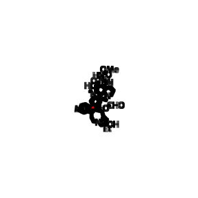 CC[C@]1(O)CC2CN(CCc3c([nH]c4ccccc34)[C@@](COC=O)(c3cc4c(cc3OC)N(C)[C@H]3[C@@](O)(C(=O)NNC(=O)OC)[C@H](O)[C@]5(CC)C=CCN6CC[C@]43[C@@H]65)C2)C1